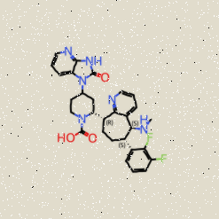 CN[C@@H]1c2cccnc2[C@@H](C2CC(n3c(=O)[nH]c4ncccc43)CCN2C(=O)O)CC[C@H]1c1cccc(F)c1F